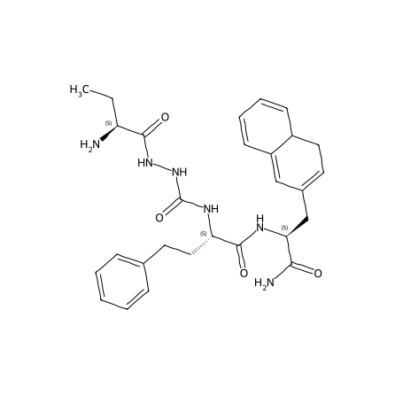 CC[C@H](N)C(=O)NNC(=O)N[C@@H](CCc1ccccc1)C(=O)N[C@@H](CC1=CCC2C=CC=CC2=C1)C(N)=O